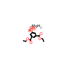 CCOC(=O)c1cc(C(=O)OCC)cc(S(=O)(=O)O)c1.[MgH2]